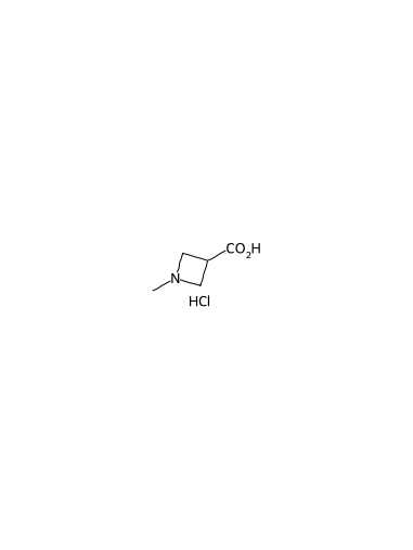 CN1CC(C(=O)O)C1.Cl